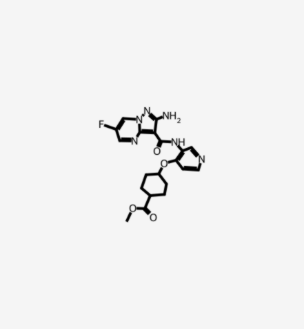 COC(=O)C1CCC(Oc2ccncc2NC(=O)c2c(N)nn3cc(F)cnc23)CC1